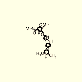 CNC(=O)c1cc(OC)c(F)c(COc2cnc(Nc3ccc(N4C[C@@H](C)N[C@@H](C)C4)cc3)nc2)c1F